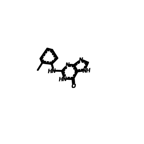 Cc1ccccc1Nc1nc2nc[nH]c2c(=O)[nH]1